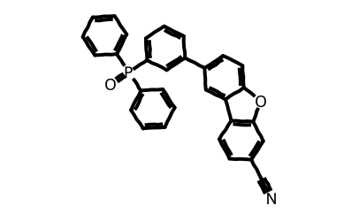 N#Cc1ccc2c(c1)oc1ccc(-c3cccc(P(=O)(c4ccccc4)c4ccccc4)c3)cc12